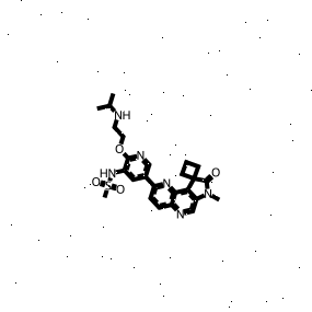 CC(C)NCCOc1ncc(-c2ccc3ncc4c(c3n2)C2(CCC2)C(=O)N4C)cc1NS(C)(=O)=O